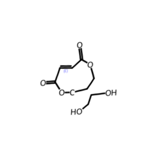 O=C1/C=C/C(=O)OCCCO1.OCCO